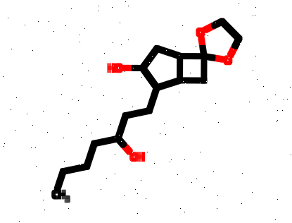 CCCCC(O)CCC1C(O)CC2C1CC21OCCO1